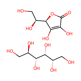 O=C1O[C@H]([C@@H](O)CO)C(O)=C1O.OC[C@@H](O)[C@@H](O)[C@H](O)[C@@H](O)CO